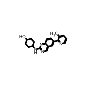 Cc1cccnc1-c1ccc2nc(NC3CCC(O)CC3)ncc2c1